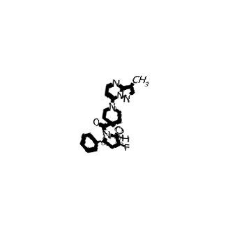 Cc1cnn2c(N3CCC4(CC3)O[C@@H]3[C@@H](F)C[C@@H](c5ccccc5)N3C4=O)ccnc12